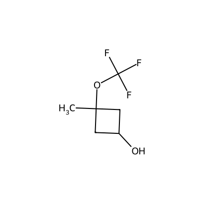 CC1(OC(F)(F)F)CC(O)C1